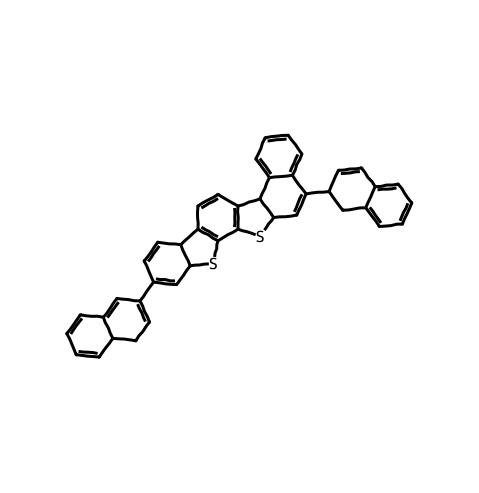 C1=CC2=CC(C3=CC4Sc5c(ccc6c5SC5C=C(C7C=Cc8ccccc8C7)c7ccccc7C65)C4C=C3)=CCC2C=C1